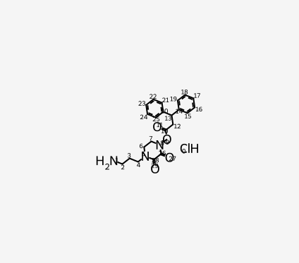 Cl.NCCCN1CCN(OC(=O)CC(c2ccccc2)c2ccccc2)C(=O)C1=O